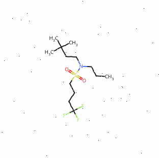 CCCN(CCC(C)(C)C)S(=O)(=O)CCCC(F)(F)F